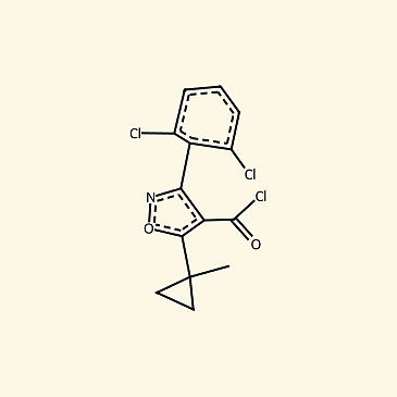 CC1(c2onc(-c3c(Cl)cccc3Cl)c2C(=O)Cl)CC1